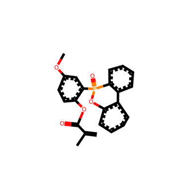 C=C(C)C(=O)Oc1ccc(OC)cc1P1(=O)Oc2ccccc2-c2ccccc21